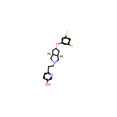 Oc1ccc(CCN2C[C@H]3C[C@H](Oc4cc(F)cc(F)c4)C[C@H]3C2)nc1